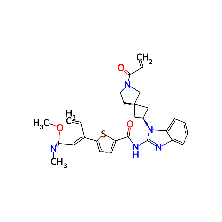 C=CC(=O)N1CC[C@]2(C1)C[C@H](n1c(NC(=O)c3ccc(/C(C=C)=C/C(=N\C)OC)s3)nc3ccccc31)C2